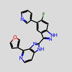 Fc1cc2[nH]nc(-c3nc4c(-c5ccoc5)nccc4[nH]3)c2cc1-c1cccnc1